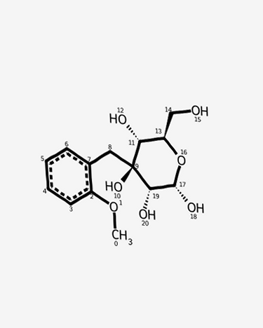 COc1ccccc1C[C@]1(O)[C@H](O)[C@@H](CO)O[C@H](O)[C@@H]1O